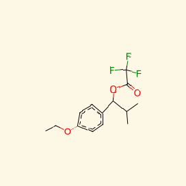 CCOc1ccc(C(OC(=O)C(F)(F)F)C(C)C)cc1